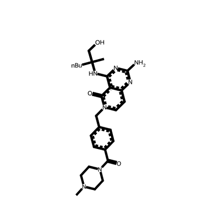 CCCCC(C)(CO)Nc1nc(N)nc2ccn(Cc3ccc(C(=O)N4CCN(C)CC4)cc3)c(=O)c12